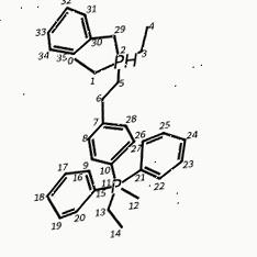 CC[PH](CC)(CCc1ccc(P(C)(CC)(c2ccccc2)c2ccccc2)cc1)Cc1ccccc1